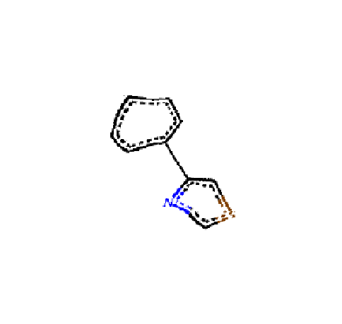 [c]1ccc(-c2cscn2)cc1